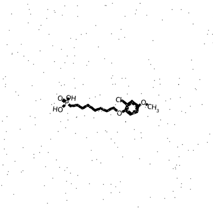 COc1ccc(OCCCCCCCCP(=O)(O)O)c(Cl)c1